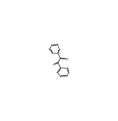 N=C(C(=O)c1ccccc1)c1ccccc1